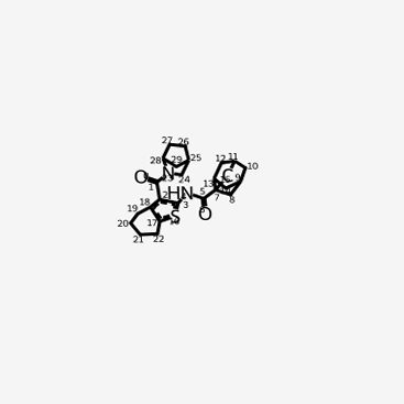 O=C(c1c(NC(=O)C23CC4CC(CC2C4)C3)sc2c1CCCC2)N1CC2CCC1C2